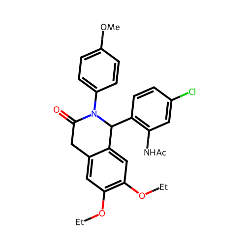 CCOc1cc2c(cc1OCC)C(c1ccc(Cl)cc1NC(C)=O)N(c1ccc(OC)cc1)C(=O)C2